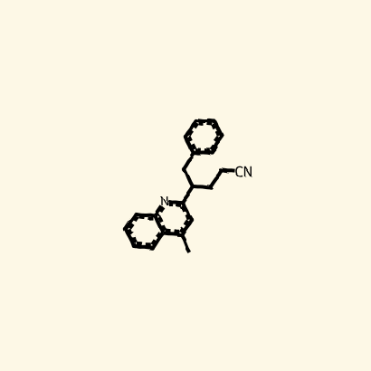 Cc1cc(C(CCC#N)Cc2ccccc2)nc2ccccc12